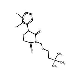 C[Si](C)(C)CCOCN1C(=O)CCC(c2cccc(Br)c2F)C1=O